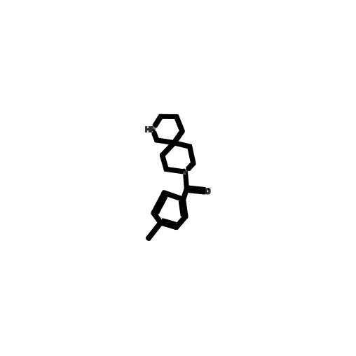 Cc1ccc(C(=O)N2CCC3(CCCNC3)CC2)cc1